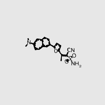 C/C(=C(/C#N)S(N)(=O)=O)c1ccc(-c2ccc3cc(N(C)C)ccc3c2)o1